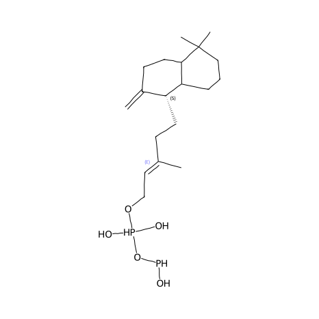 C=C1CCC2C(CCCC2(C)C)[C@@H]1CC/C(C)=C/CO[PH](O)(O)OPO